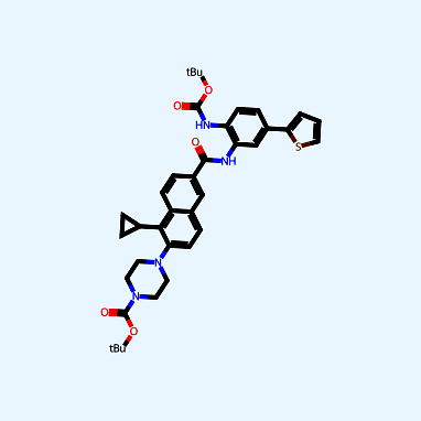 CC(C)(C)OC(=O)Nc1ccc(-c2cccs2)cc1NC(=O)c1ccc2c(C3CC3)c(N3CCN(C(=O)OC(C)(C)C)CC3)ccc2c1